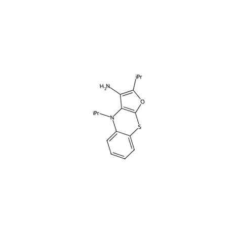 CC(C)c1oc2c(c1N)N(C(C)C)c1ccccc1S2